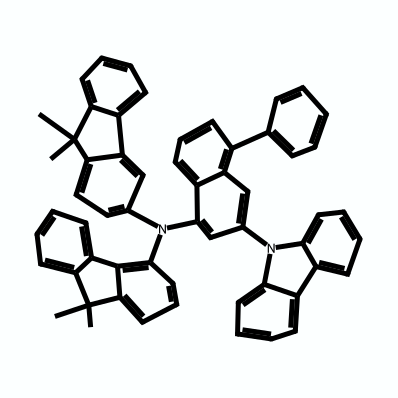 CC1(C)c2ccccc2-c2cc(N(c3cccc4c3-c3ccccc3C4(C)C)c3cc(-n4c5ccccc5c5ccccc54)cc4c(-c5ccccc5)cccc34)ccc21